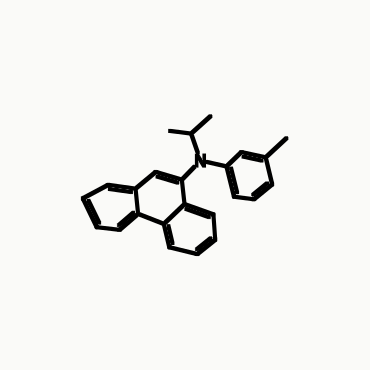 Cc1cccc(N(c2cc3ccccc3c3ccccc23)C(C)C)c1